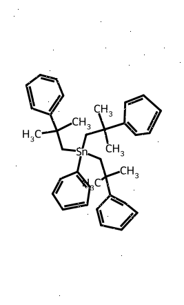 CC(C)([CH2][Sn]([CH2]C(C)(C)c1ccccc1)([CH2]C(C)(C)c1ccccc1)[c]1ccccc1)c1ccccc1